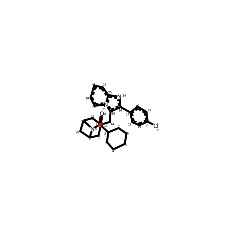 O=C(C1CCCCC1)N1C2CC1CN(Cc1c(-c3ccc(Cl)cc3)nc3ccccn13)C2